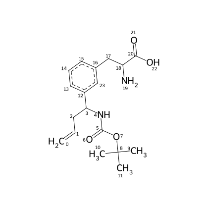 C=CCC(NC(=O)OC(C)(C)C)c1cccc(CC(N)C(=O)O)c1